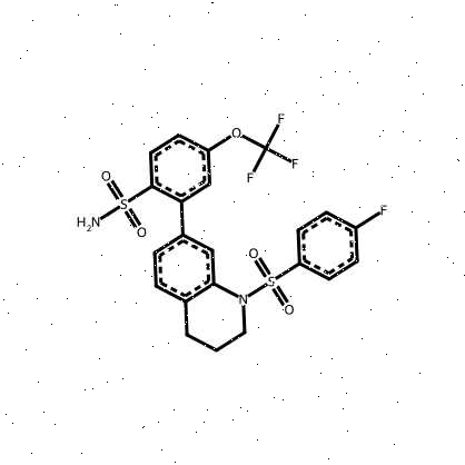 NS(=O)(=O)c1ccc(OC(F)(F)F)cc1-c1ccc2c(c1)N(S(=O)(=O)c1ccc(F)cc1)CCC2